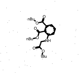 CCCCOC(=O)c1cccc(NCC(=O)OC(C)(C)C)c1C(=O)OCCCC